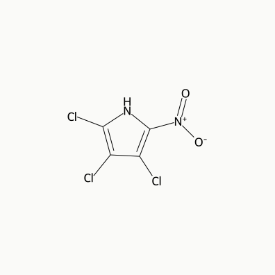 O=[N+]([O-])c1[nH]c(Cl)c(Cl)c1Cl